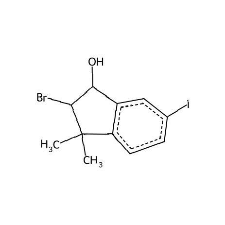 CC1(C)c2ccc(I)cc2C(O)C1Br